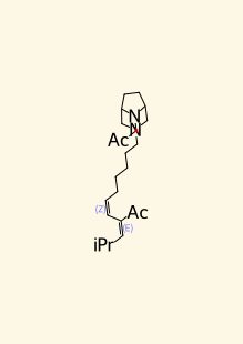 CC(=O)CN1C2CCC1CN(CCCCC/C=C\C(=C/C(C)C)C(C)=O)C2